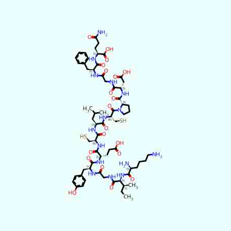 CC[C@H](C)[C@H](NC(=O)[C@@H](N)CCCCN)C(=O)NCC(=O)N[C@@H](Cc1ccc(O)cc1)C(=O)N[C@@H](CCC(=O)O)C(=O)N[C@@H](CS)C(=O)N[C@@H](CC(C)C)C(=O)N[C@@H](CS)C(=O)N1CCC[C@H]1C(=O)N[C@@H](CC(=O)O)C(=O)NCC(=O)N[C@@H](Cc1ccccc1)C(=O)N[C@@H](CCC(N)=O)C(=O)O